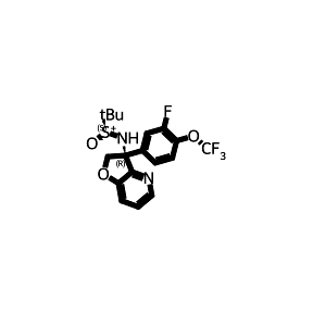 CC(C)(C)[S@@+]([O-])N[C@@]1(c2ccc(OC(F)(F)F)c(F)c2)COc2cccnc21